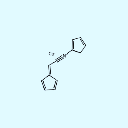 C(C=C1C=CC=C1)#[N+]C1=CC=CC1.[Co]